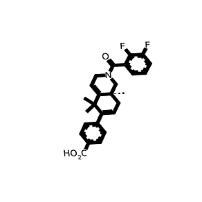 CC1(C)C(c2ccc(C(=O)O)cc2)=CC[C@]2(C)CN(C(=O)c3cccc(F)c3F)CC=C12